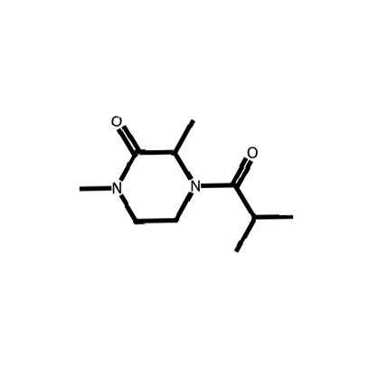 CC(C)C(=O)N1CCN(C)C(=O)C1C